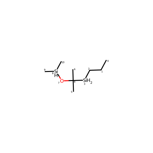 CCC[SiH2]C(C)(C)O[SiH](C)C